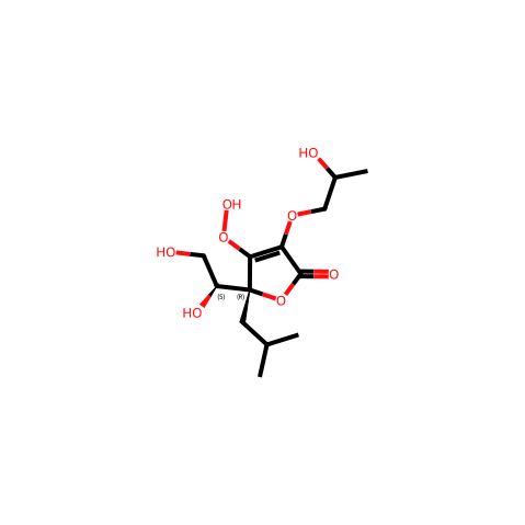 CC(C)C[C@]1([C@@H](O)CO)OC(=O)C(OCC(C)O)=C1OO